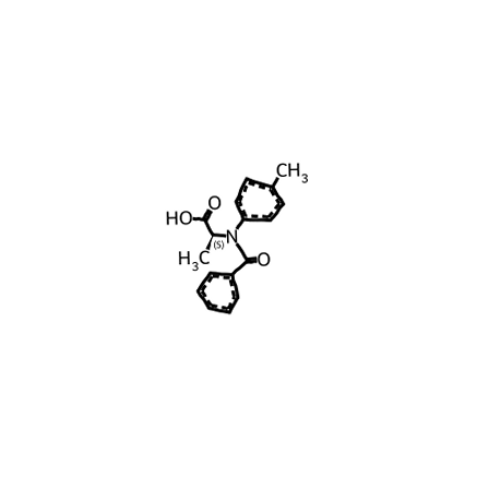 Cc1ccc(N(C(=O)c2ccccc2)[C@@H](C)C(=O)O)cc1